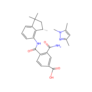 C[C@H]1CC(C)(C)c2cccc(NC(=O)c3ccc(C(=O)O)cc3C(N)=O)c21.Cc1cc(C)n(C)n1